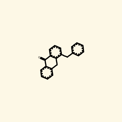 O=C1c2ccccc2Cc2c(Cc3ccccc3)cccc21